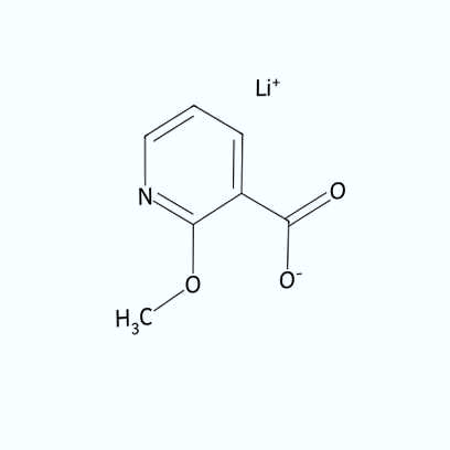 COc1ncccc1C(=O)[O-].[Li+]